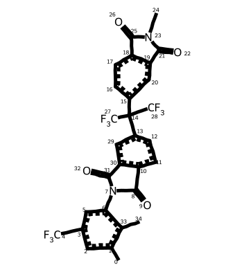 Cc1cc(C(F)(F)F)cc(N2C(=O)c3ccc(C(c4ccc5c(c4)C(=O)N(C)C5=O)(C(F)(F)F)C(F)(F)F)cc3C2=O)c1C